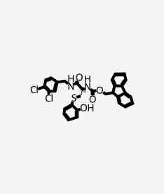 O=C(N[C@H](CSc1ccccc1O)C(=O)NCc1ccc(Cl)c(Cl)c1)OCC1c2ccccc2-c2ccccc21